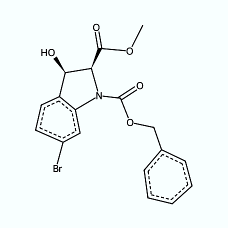 COC(=O)[C@@H]1[C@H](O)c2ccc(Br)cc2N1C(=O)OCc1ccccc1